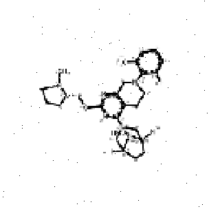 CN1CCC[C@H]1COc1nc2c(c(N3C[C@H]4CC[C@@H](C3)N4C(=O)O)n1)CCN(c1c(F)cccc1C(F)(F)F)C2